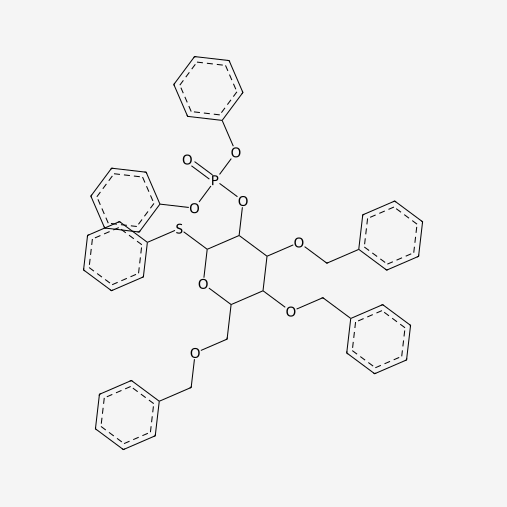 O=P(Oc1ccccc1)(Oc1ccccc1)OC1C(Sc2ccccc2)OC(COCc2ccccc2)C(OCc2ccccc2)C1OCc1ccccc1